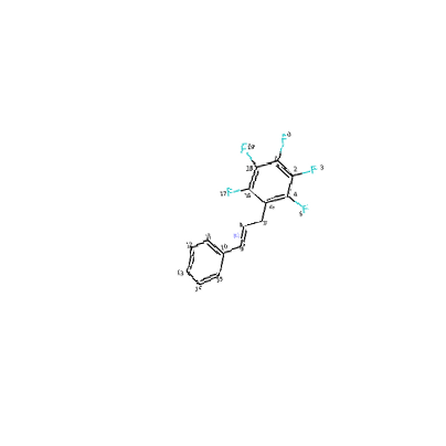 Fc1c(F)c(F)c(C/C=C/c2ccccc2)c(F)c1F